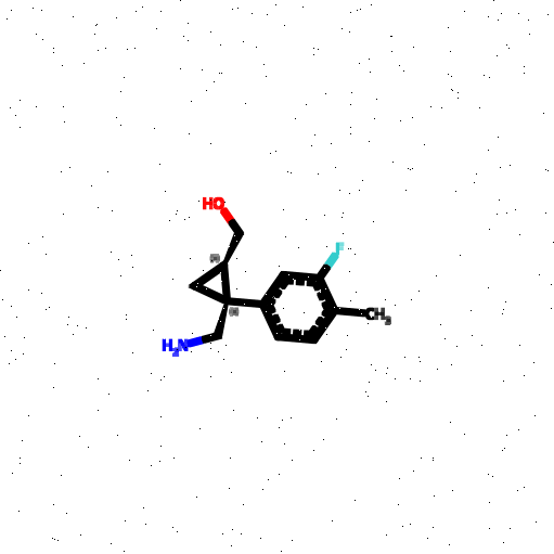 Cc1ccc([C@]2(CN)C[C@H]2CO)cc1F